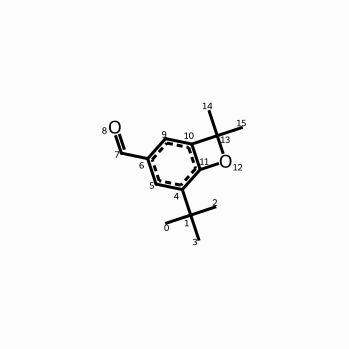 CC(C)(C)c1cc(C=O)cc2c1OC2(C)C